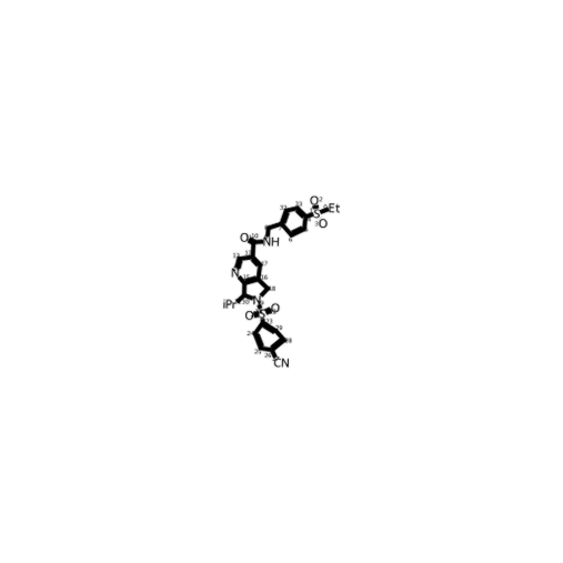 CCS(=O)(=O)c1ccc(CNC(=O)c2cnc3c(c2)CN(S(=O)(=O)c2ccc(C#N)cc2)C3C(C)C)cc1